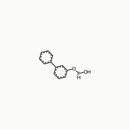 OPOc1cccc(-c2ccccc2)c1